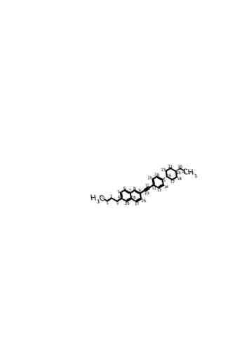 CCCCc1ccc2cc(C#Cc3ccc([C@H]4CC[C@H](CC)CC4)cc3)ccc2c1